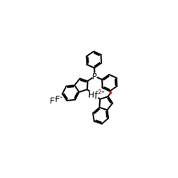 CC1=Cc2ccccc2[CH]1[Hf+2][CH]1C(P(c2ccccc2)c2ccccc2)=Cc2ccccc21.[F-].[F-]